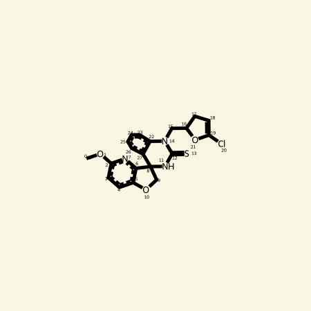 COc1ccc2c(n1)C1(CO2)NC(=S)N(CC2CC=C(Cl)O2)c2ccccc21